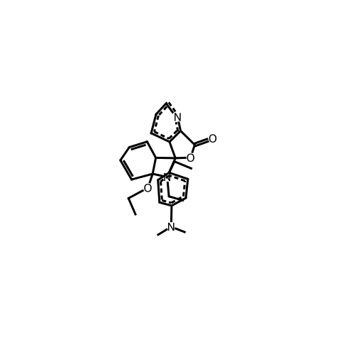 CCOC1(N(CC)CC)C=CC=CC1C1(c2ccc(N(C)C)cc2)OC(=O)c2ncccc21